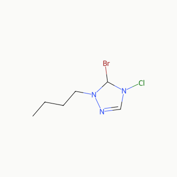 CCCCN1N=CN(Cl)C1Br